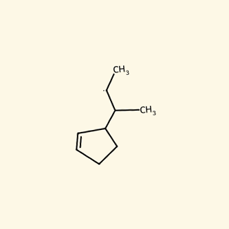 C[CH]C(C)C1C=CCC1